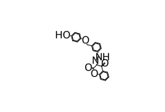 O=C1Oc2ccccc2C(=O)C1=NNc1cccc(COc2ccc(O)cc2)c1